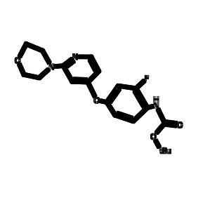 CC(C)(C)OC(=O)Nc1ccc(Oc2ccnc(N3CCOCC3)c2)cc1F